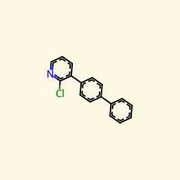 Clc1ncccc1-c1ccc(-c2ccccc2)cc1